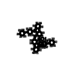 CC1(c2ccccc2)c2ccc3c4ccccc4n(-c4ccc(-c5ccccc5)cc4)c3c2Sc2ccc3c4ccccc4n(-c4ccc(-c5ccccc5)cc4)c3c21